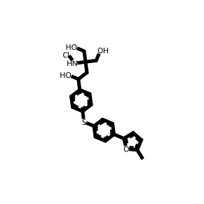 Cc1ccc(-c2ccc(Sc3ccc(C(O)CC(CO)(CO)NCl)cc3)cc2)o1